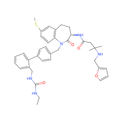 CCNC(=O)NCc1ccccc1-c1ccc(CN2C(=O)[C@H](NC(=O)CC(C)(C)NCc3ccco3)CCc3cc(SC)ccc32)cc1